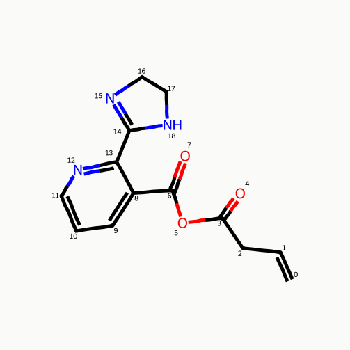 C=CCC(=O)OC(=O)c1cccnc1C1=NCCN1